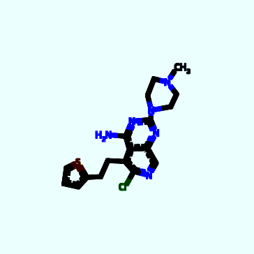 CN1CCN(c2nc(N)c3c(CCc4cccs4)c(Cl)ncc3n2)CC1